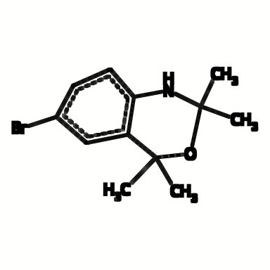 CC1(C)Nc2ccc(Br)cc2C(C)(C)O1